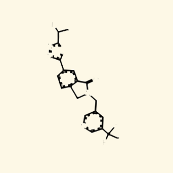 O=C1c2cc(-c3nnc(C(F)F)o3)ccc2CN1Cc1cncc(C(F)(F)F)c1